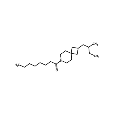 CCCCCCCC(=O)N1CCC2(CC1)CC(CC(C)CC)C2